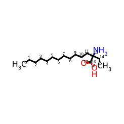 CCCCCCCCCCCCC(N)(CC)C(=O)O